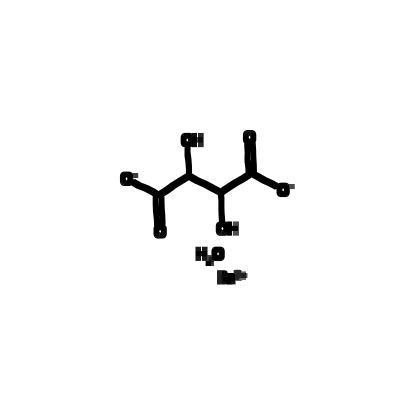 O.O=C([O-])C(O)C(O)C(=O)[O-].[Ba+2]